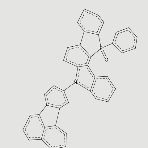 O=P1(c2ccccc2)c2ccccc2-c2ccc3c(c21)c1ccccc1n3-c1ccc2c(c1)-c1cccc3cccc-2c13